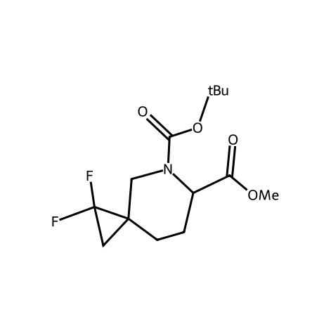 COC(=O)C1CCC2(CN1C(=O)OC(C)(C)C)CC2(F)F